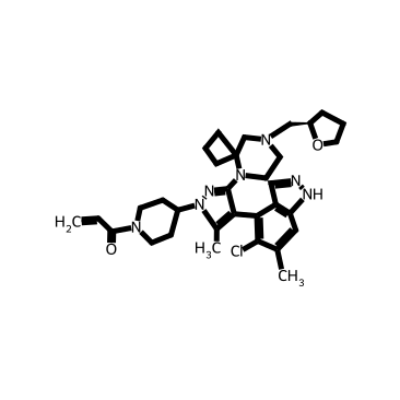 C=CC(=O)N1CCC(n2nc(N3CCN(C[C@H]4CCCO4)CC34CCC4)c(-c3c(Cl)c(C)cc4[nH]ncc34)c2C)CC1